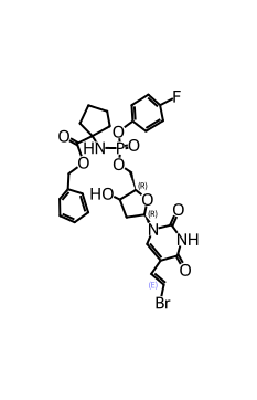 O=C(OCc1ccccc1)C1(NP(=O)(OC[C@H]2O[C@@H](n3cc(/C=C/Br)c(=O)[nH]c3=O)CC2O)Oc2ccc(F)cc2)CCCC1